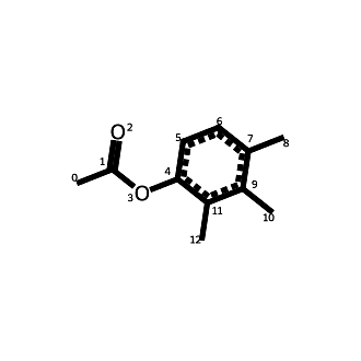 CC(=O)Oc1c[c]c(C)c(C)c1C